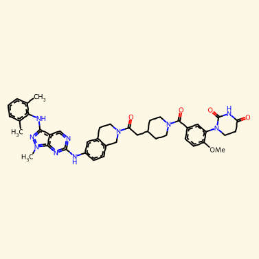 COc1ccc(C(=O)N2CCC(CC(=O)N3CCc4cc(Nc5ncc6c(Nc7c(C)cccc7C)nn(C)c6n5)ccc4C3)CC2)cc1N1CCC(=O)NC1=O